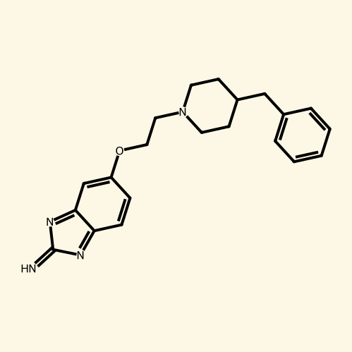 N=C1N=c2ccc(OCCN3CCC(Cc4ccccc4)CC3)cc2=N1